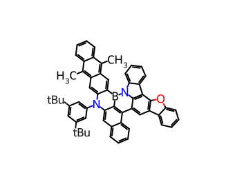 Cc1c2ccccc2c(C)c2cc3c(cc12)B1c2c(cc4ccccc4c2-c2cc4c5ccccc5oc4c4c5ccccc5n1c24)N3c1cc(C(C)(C)C)cc(C(C)(C)C)c1